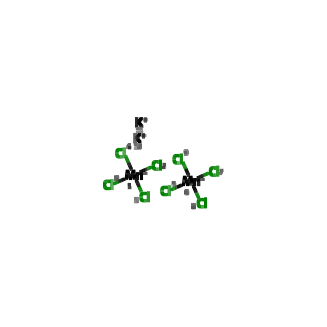 [Cl][Mn-]([Cl])([Cl])[Cl].[Cl][Mn-]([Cl])([Cl])[Cl].[K+].[K+]